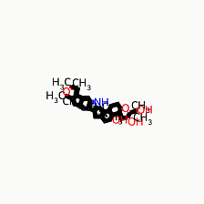 CC1(C)C=C2c3cc4[nH]c5c(c4cc3CC2C(C)(C)O1)CC1CC[C@@]2(O)C3=CC(O)C(C(C)(C)O)OC3CC[C@]2(C)[C@@]51C